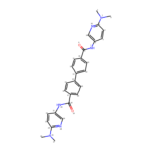 CN(C)c1ccc(NC(=O)c2ccc(-c3ccc(C(=O)Nc4ccc(N(C)C)nc4)cc3)cc2)cn1